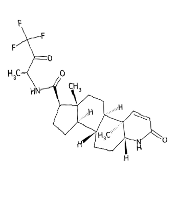 CC(NC(=O)[C@@H]1CC[C@@H]2[C@H]3CC[C@H]4NC(=O)C=C[C@]4(C)[C@@H]3CC[C@]21C)C(=O)C(F)(F)F